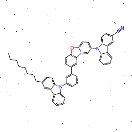 CCCCCCCCc1ccc2c(c1)c1ccccc1n2-c1cccc(-c2ccc3oc4ccc(-n5c6ccccc6c6cc(C#N)ccc65)cc4c3c2)c1